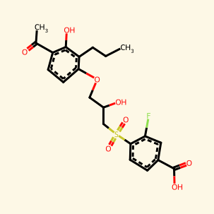 CCCc1c(OCC(O)CS(=O)(=O)c2ccc(C(=O)O)cc2F)ccc(C(C)=O)c1O